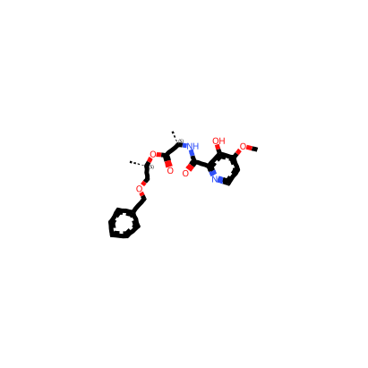 COc1ccnc(C(=O)N[C@@H](C)C(=O)O[C@@H](C)COCc2ccccc2)c1O